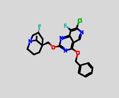 CC1N2CCC[C@@]1(COc1nc(OCc3ccccc3)c3cnc(Cl)c(F)c3n1)C[C@@H](F)C2